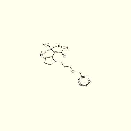 CC(C)(C)[C@@H](C(=O)O)N1C(=O)CCC1CCCOCc1ccccc1